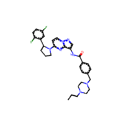 CCCN1CCN(Cc2ccc(C(=O)Nc3cnn4ccc(N5CCCC5c5cc(F)ccc5F)nc34)cc2)CC1